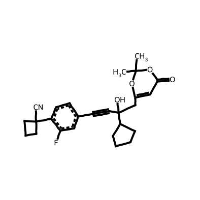 CC1(C)OC(=O)C=C(CC(O)(C#Cc2ccc(C3(C#N)CCC3)c(F)c2)C2CCCC2)O1